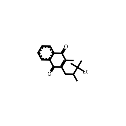 CCC(C)(C)C(C)CC1=C(C)C(=O)c2ccccc2C1=O